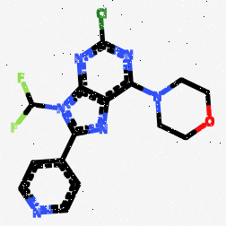 FC(F)n1c(-c2ccncc2)nc2c(N3CCOCC3)nc(Cl)nc21